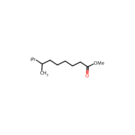 COC(=O)CCCCCC(C)C(C)C